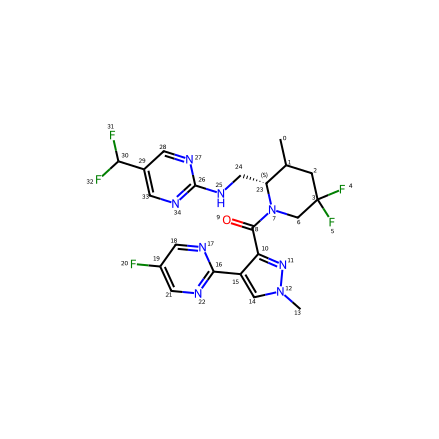 CC1CC(F)(F)CN(C(=O)c2nn(C)cc2-c2ncc(F)cn2)[C@@H]1CNc1ncc(C(F)F)cn1